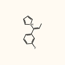 CC=C(c1cccc(F)c1)[SH]1C=CC=C1